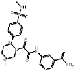 CNS(=O)(=O)c1ccc([C@@H]2CC[C@@H](C)CN2C(=O)C(=O)Nc2cncc(C(N)=O)c2)cc1